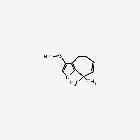 CSc1coc2c1C=CC=CC2(C)C